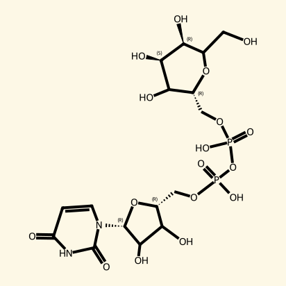 O=c1ccn([C@@H]2O[C@H](COP(=O)(O)OP(=O)(O)OC[C@H]3OC(CO)[C@H](O)[C@H](O)C3O)C(O)C2O)c(=O)[nH]1